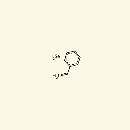 C=Cc1ccccc1.[SeH2]